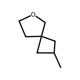 CC1CC2(CCOC2)C1